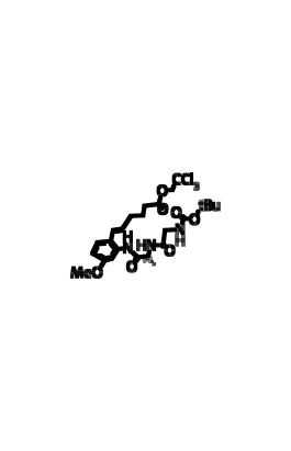 COc1ccc(C=CCCCC(=O)OCC(Cl)(Cl)Cl)c(NC(=O)[C@@H](C)NC(=O)CNC(=O)OC(C)(C)C)c1